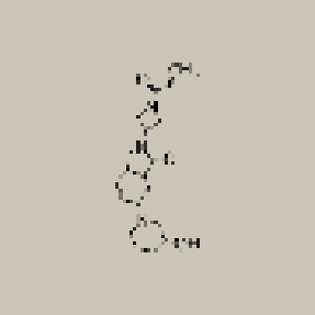 C=CC(=O)N1CC(N2Cc3ccc(N4CCCC(O)C4)cc3C2=O)C1